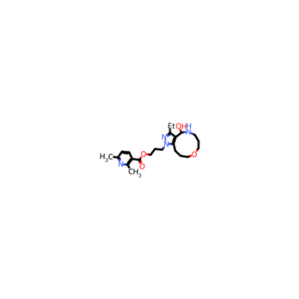 CCc1nn(CCCOC(=O)c2ccc(C)nc2C)c2c1C(O)NCCCOCCC2